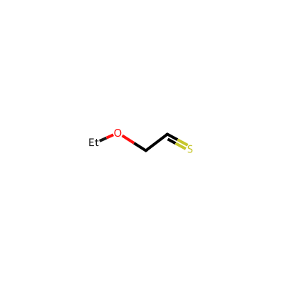 CCOCC=S